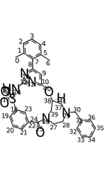 Cc1cccc(C)c1-c1cc2nc(n1)NS(=O)(=O)c1cccc(c1)C(=O)N1CCN(Cc3ccccc3)C[C@@H](C1)O2